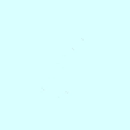 CCN(CC)CC(=O)Nc1ccc2c(c1O)C(=O)C1=C(O)[C@]3(O)C(=O)C(C(N)=O)=C(O)[C@@H](N(C)C)C3C(O)C1C2C